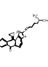 CN(C)CCCSc1nc2ccc3c(c2[nH]1)C(=O)c1ccccc1C3=O